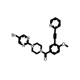 COc1ccc(C(=O)N2CCN(c3ncc(Br)cn3)CC2)cc1C#Cc1ccccn1